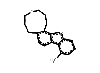 Cc1cccc2sc3c4c(ccc3c12)CCCCCCC4